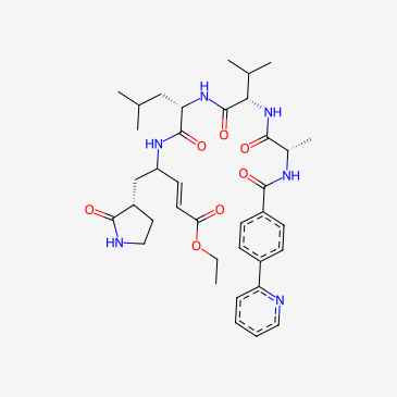 CCOC(=O)/C=C/C(C[C@@H]1CCNC1=O)NC(=O)[C@H](CC(C)C)NC(=O)[C@@H](NC(=O)[C@H](C)NC(=O)c1ccc(-c2ccccn2)cc1)C(C)C